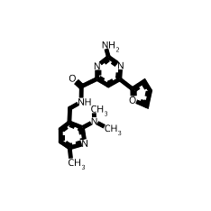 Cc1ccc(CNC(=O)c2cc(-c3ccco3)nc(N)n2)c(N(C)C)n1